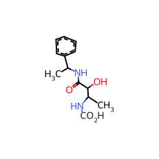 CC(NC(=O)C(O)C(C)NC(=O)O)c1ccccc1